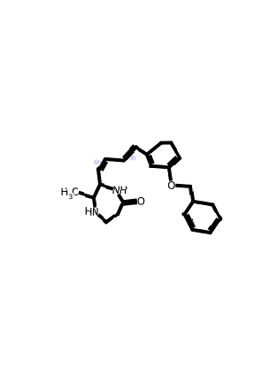 CC1NCCC(=O)NC1/C=C\C=C\C1=CC(OCC2C=CC=CC2)=CCC1